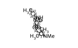 CNc1cc(C)c(C2CC2S(=O)(=O)N2CCC3(CC2)N=C(C2CCC(C)CC2)NC3=O)c(C)c1